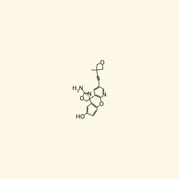 CC1(C#Cc2cnc3c(c2)C2(COC(N)=N2)c2cc(O)ccc2O3)COC1